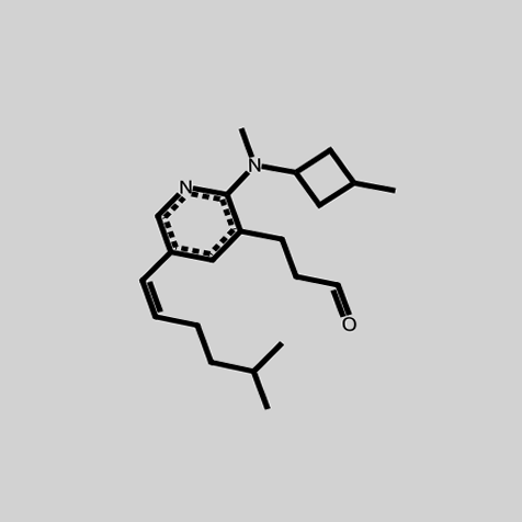 CC(C)CC/C=C\c1cnc(N(C)C2CC(C)C2)c(CCC=O)c1